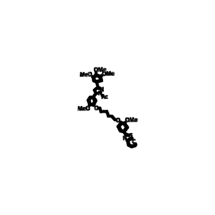 COc1cc(-c2nc3ccccc3s2)ccc1OCCCCCCOc1cc(C2CC(c3cc(OC)c(OC)c(OC)c3)=NN2C(C)=O)ccc1OC